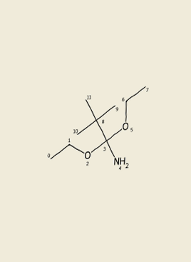 CCOC(N)(OCC)C(C)(C)C